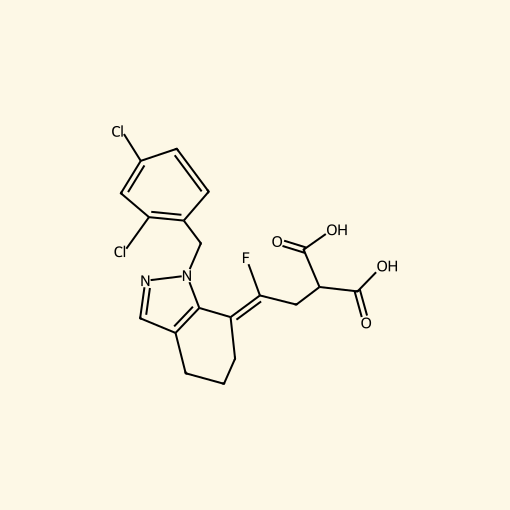 O=C(O)C(CC(F)=C1CCCc2cnn(Cc3ccc(Cl)cc3Cl)c21)C(=O)O